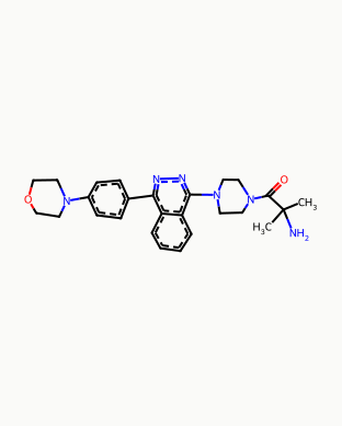 CC(C)(N)C(=O)N1CCN(c2nnc(-c3ccc(N4CCOCC4)cc3)c3ccccc23)CC1